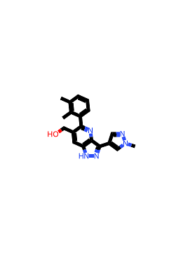 Cc1cccc(-c2nc3c(-c4cnn(C)c4)n[nH]c3cc2CO)c1C